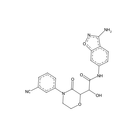 N#Cc1cccc(N2CCOC(C(O)C(=O)Nc3ccc4c(N)noc4c3)C2=O)c1